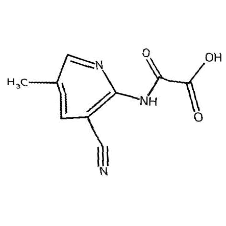 Cc1cnc(NC(=O)C(=O)O)c(C#N)c1